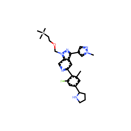 Cc1cc(C2CCCN2)cc(F)c1-c1cc2c(-c3cnn(C)c3)nn(COCC[Si](C)(C)C)c2cn1